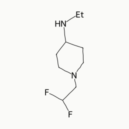 CCNC1CCN(CC(F)F)CC1